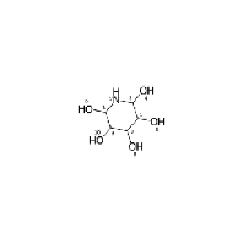 OC1NC(O)C(O)C(O)C1O